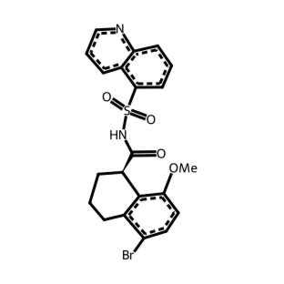 COc1ccc(Br)c2c1[C@H](C(=O)NS(=O)(=O)c1cccc3ncccc13)CCC2